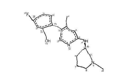 Cc1cc(N[C@@H]2CCCN(C)C2)nnc1-c1ccc(F)cc1O